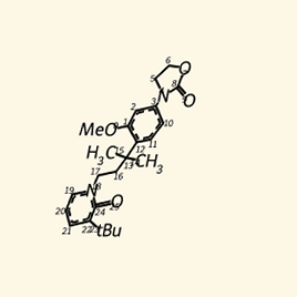 COc1cc(N2CCOC2=O)ccc1C(C)(C)CCn1cccc(C(C)(C)C)c1=O